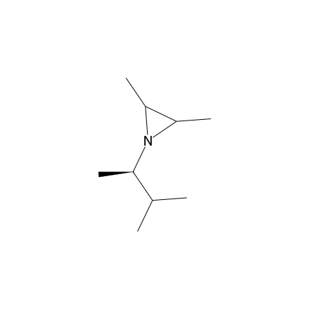 CC(C)[C@@H](C)N1C(C)C1C